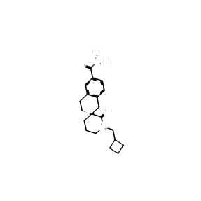 O=C(NO)c1ccc2c(c1)CC[C@@]1(CCCN(CC3CCC3)C1=O)C2